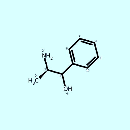 C[C@@H](N)C(O)c1ccccc1